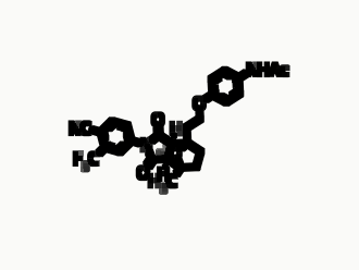 CC(=O)Nc1ccc(OCCC23CCC(C)(O2)[C@H]2C(=O)N(c4ccc(C#N)c(C(F)(F)F)c4)C(=O)[C@H]23)cc1